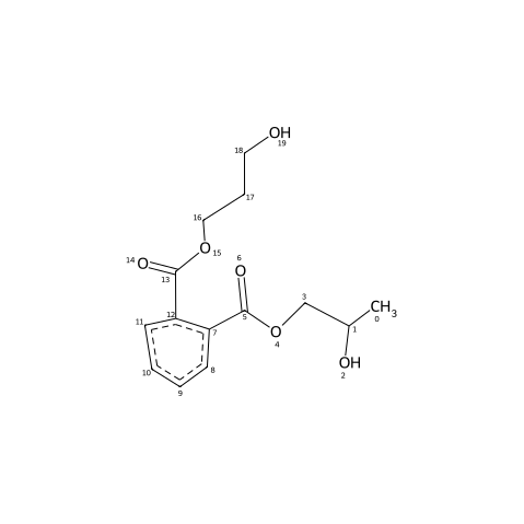 CC(O)COC(=O)c1ccccc1C(=O)OCCCO